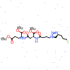 CC(C)(C)OC(=O)CC[C@H](NC(=O)C[C@H](NC(=O)CCCn1cc(CCCF)nn1)C(=O)OC(C)(C)C)C(=O)OC(C)(C)C